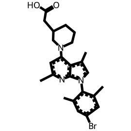 Cc1cc(N2CCCC(CC(=O)O)C2)c2c(C)cn(-c3c(C)cc(Br)cc3C)c2n1